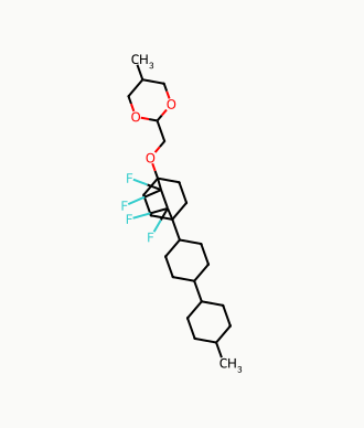 CC1CCC(C2CCC(C34CCC(OCC5OCC(C)CO5)(CC3)C(F)(F)C4(F)F)CC2)CC1